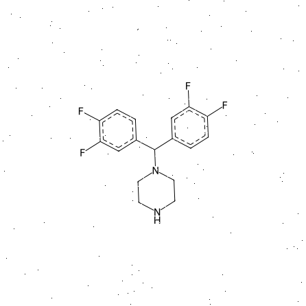 Fc1ccc(C(c2ccc(F)c(F)c2)N2CCNCC2)cc1F